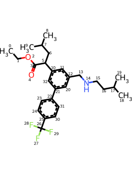 CCOC(=O)C(CC(C)C)c1cc(CNCCC(C)C)cc(-c2ccc(C(F)(F)F)cc2)c1